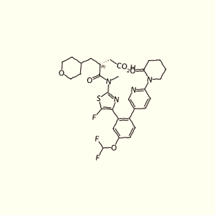 CN(C(=O)[C@@H](CC(=O)O)CC1CCOCC1)c1nc(-c2cc(OC(F)F)ccc2-c2ccc(N3CCCCC3=O)nc2)c(F)s1